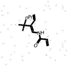 C=CC(=O)N/C=C(\C=C)C(C)(C)CCC